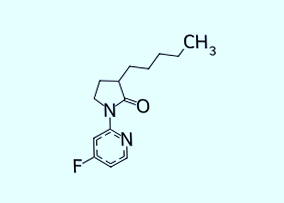 CCCCCC1CCN(c2cc(F)ccn2)C1=O